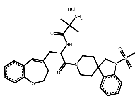 CC(C)(N)C(=O)N[C@H](CC1=Cc2ccccc2OCC1)C(=O)N1CCC2(CC1)CN(S(C)(=O)=O)c1ccccc12.Cl